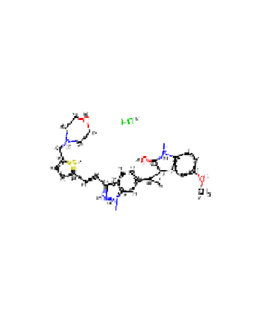 COc1ccc2c(c1)[C@]1(C[C@H]1c1ccc3c(/C=C/c4ccc(CN5CCOCC5)s4)n[nH]c3c1)C(=O)N2.Cl